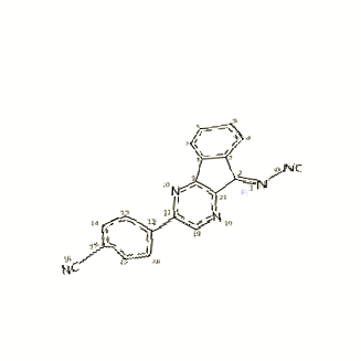 [C-]#[N+]/N=C1\c2ccccc2-c2nc(-c3ccc(C#N)cc3)cnc21